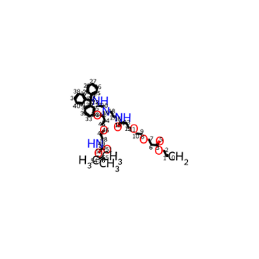 C=CCOC(=O)CCOCCOCCC(=O)NCCN(CCNC(c1ccccc1)(c1ccccc1)c1ccccc1)C(=O)CCOCCNC(=O)OC(C)(C)C